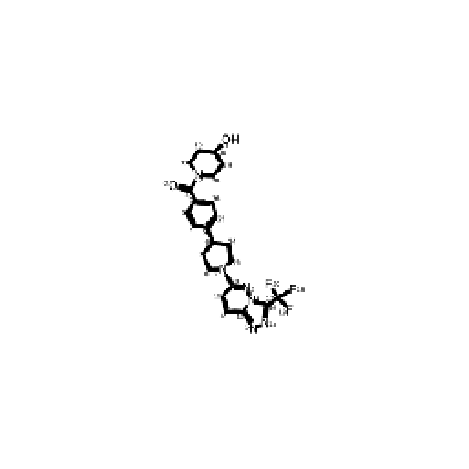 O=C(c1ccc(C2CCN(c3ccc4nnc(C(F)(F)F)n4n3)CC2)cc1)N1CCC(O)CC1